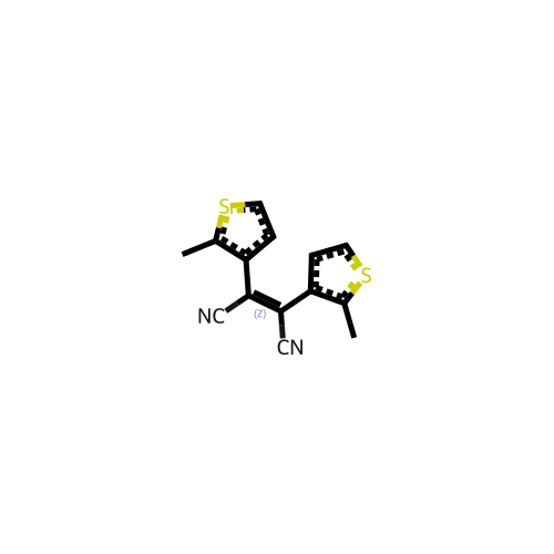 Cc1sccc1/C(C#N)=C(/C#N)c1ccsc1C